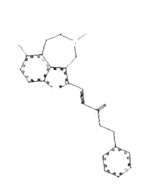 CN1CCc2c(Cl)ccc3oc(C=CC(=O)CCc4ccccc4)c(c23)C1